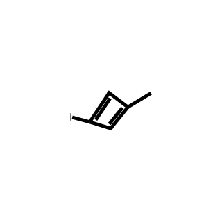 CC1=CC(I)=C1